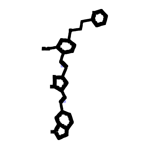 COc1cc(OCCc2ccccn2)ccc1/C=C/c1cc(/C=C/c2ccc3cc[nH]c3c2)[nH]n1